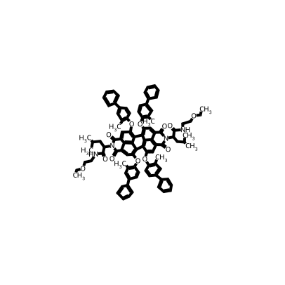 CCOCCNC(=O)C(CC(C)C)N1C(=O)c2cc(Oc3ccc(-c4ccccc4)cc3C)c3c4c(Oc5ccc(-c6ccccc6)cc5C)cc5c6c(cc(Oc7ccc(-c8ccccc8)cc7C)c(c7c(Oc8ccc(-c9ccccc9)cc8C)cc(c2c37)C1=O)c64)C(=O)N(C(CC(C)C)C(=O)NCCOCC)C5=O